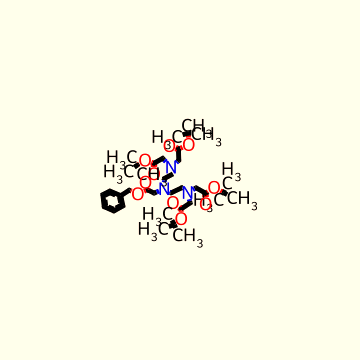 CC(C)(C)OC(=O)CN(CCN(CCN(CC(=O)OC(C)(C)C)CC(=O)OC(C)(C)C)CC(=O)OCc1ccccc1)CC(=O)OC(C)(C)C